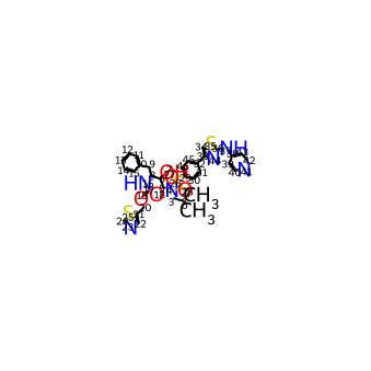 CC(C)CN(CC(O)C(Cc1ccccc1)NC(=O)OCc1cncs1)S(=O)(=O)c1ccc(-c2csc(Nc3ccncc3)n2)cc1